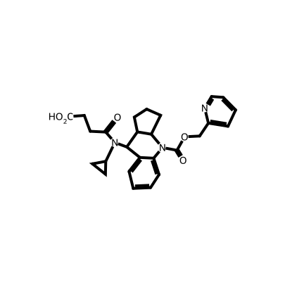 O=C(O)CCC(=O)N(C1CC1)C1c2ccccc2N(C(=O)OCc2ccccn2)C2CCCC21